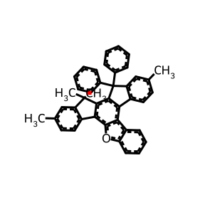 Cc1ccc2c(c1)C(C)(C)c1c3c(c4c(oc5ccccc54)c1-2)-c1ccc(C)cc1C3(c1ccccc1)c1ccccc1